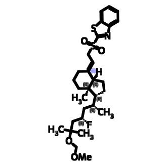 COCOC(C)(C)C[C@@H](F)C[C@@H](C)[C@H]1CC[C@H]2/C(=C/CS(=O)(=O)c3nc4ccccc4s3)CCC[C@]12C